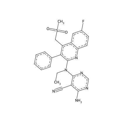 CCN(c1ncnc(N)c1C#N)c1nc2ccc(F)cc2c(CS(C)(=O)=O)c1-c1ccccc1